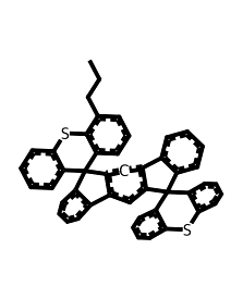 CCCc1cccc2c1Sc1ccccc1C21c2ccccc2-c2cc3c(cc21)-c1ccccc1C31c2ccccc2Sc2ccccc21